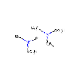 CCN(CC)S(=O)(=O)O.CN(C)S(=O)(=O)O